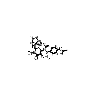 C=C(C)Oc1ccc(CN(C(=C)Br)C2=C(N)C(=O)N(CC)C3=NC4(CCCC4)CN32)cc1